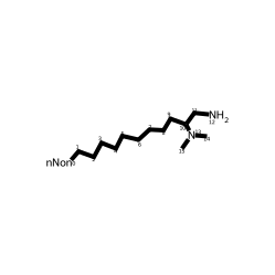 CCCCCCCCCCCCCCCCCCC(CN)N(C)C